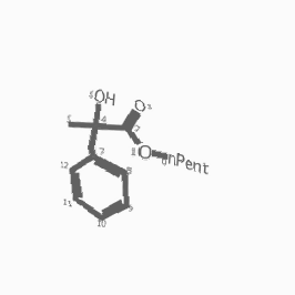 CCCCCOC(=O)C(C)(O)c1ccccc1